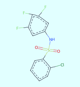 O=S(=O)(Nc1cc(F)c(F)c(F)c1)c1ccccc1Cl